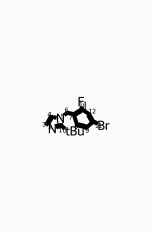 CC(C)(C)c1nccn1Cc1ccc(Br)cc1F